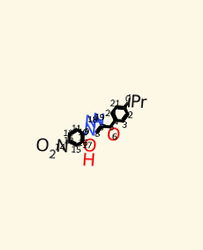 CC(C)c1ccc(C(=O)c2cn(-c3ccc([N+](=O)[O-])cc3O)nn2)cc1